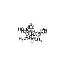 Cc1cc([C@@H](C)Nc2ccccc2C(=O)O)c2nc(N3CCN(c4ccncc4)CC3)c(C)c(=O)n2c1